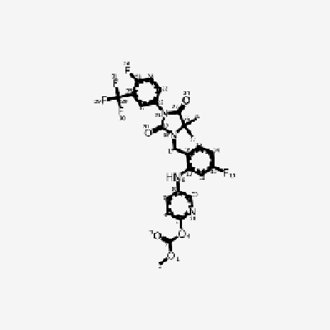 COC(=O)Oc1ccc(Nc2cc(F)ccc2CN2C(=O)N(c3ccc(F)c(C(F)(F)F)c3)C(=O)C2(C)C)cn1